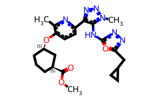 COC(=O)[C@H]1CCC[C@H](Oc2ccc(-c3nnn(C)c3Nc3nnc(CC4CC4)o3)nc2C)C1